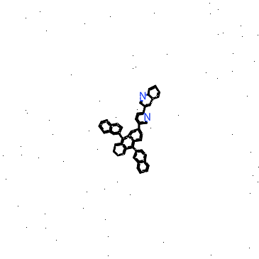 C1=CC2C=C(c3ccc(-c4ccc5c(-c6ccc7ccccc7c6)c6c(c(-c7ccc8ccccc8c7)c5c4)=CCCC=6)cn3)C=NC2C=C1